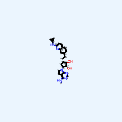 CNc1ncnc2c1ccn2[C@@H]1C[C@H](CCc2ccc3ccc(NC4CC4)nc3c2)C(O)[C@H]1O